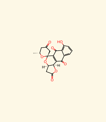 C[C@@H]1CC(=O)C[C@]2(O1)O[C@@H]1CC(=O)O[C@@H]1C1=C2C(=O)c2c(O)cccc2C1=O